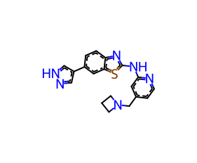 c1cc(CN2CCC2)cc(Nc2nc3ccc(-c4cn[nH]c4)cc3s2)n1